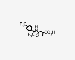 C=C(CC(=O)N[C@H](c1ccc(C(F)(F)F)cc1)C(F)(F)F)C(=O)O